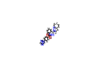 C[C@@H](CC1CCCCCC1)NCc1ccccc1NS(=O)(=O)c1ccc(-n2cncn2)cc1